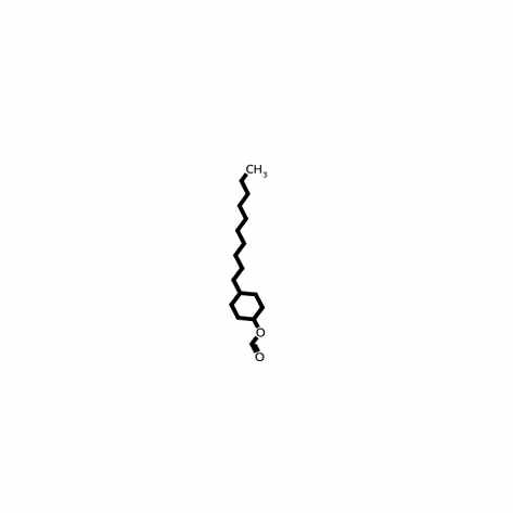 CCCCCCCCCCC1CCC(OC=O)CC1